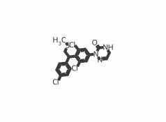 CSCC(c1ccc(Cl)cc1)c1c(Cl)cc(N2N=CCNC2=O)cc1Cl